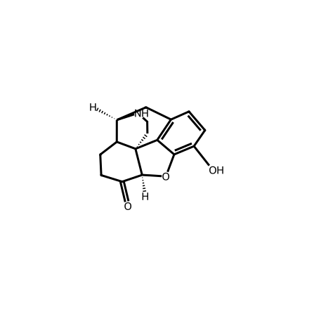 O=C1CCC2[C@H]3Cc4ccc(O)c5c4[C@@]2(CCN3)[C@H]1O5